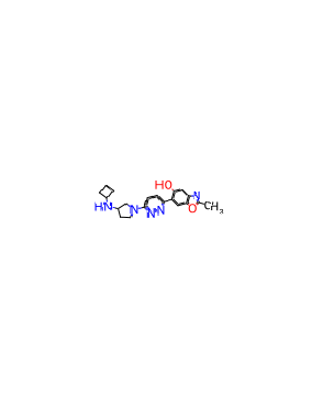 Cc1nc2cc(O)c(-c3ccc(N4CCC(NC5CCC5)C4)nn3)cc2o1